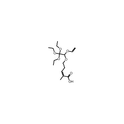 C=COC(OCCC=C(C)C(=O)O)C(OCC)(OCC)OCC